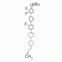 C/C=C/CCC1CCC(C2CC=C(c3ccc(-c4ccc(-c5ccc(OCCCC)c(F)c5F)cc4)c(F)c3)CC2)CC1